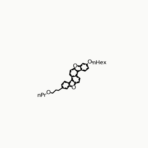 CCCCCCOc1ccc2c(c1)oc1ccc3c(ccc4oc5cc(CCCOCCC)ccc5c43)c12